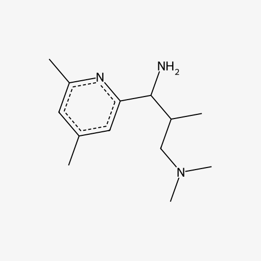 Cc1cc(C)nc(C(N)C(C)CN(C)C)c1